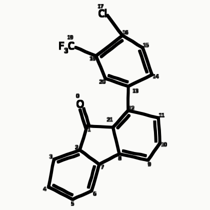 O=C1c2ccccc2-c2cccc(-c3ccc(Cl)c(C(F)(F)F)c3)c21